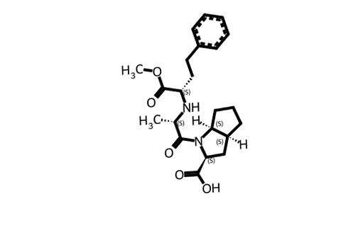 COC(=O)[C@H](CCc1ccccc1)N[C@@H](C)C(=O)N1[C@H](C(=O)O)C[C@@H]2CCC[C@@H]21